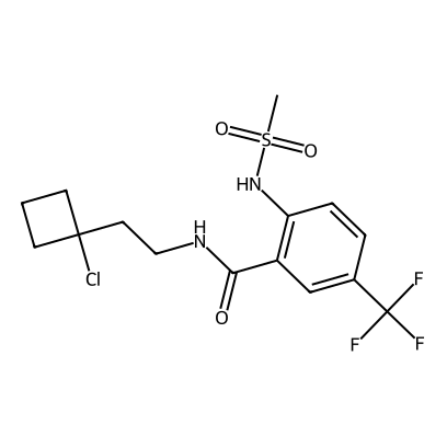 CS(=O)(=O)Nc1ccc(C(F)(F)F)cc1C(=O)NCCC1(Cl)CCC1